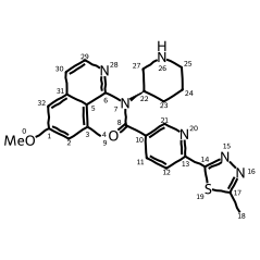 COc1cc(C)c2c(N(C(=O)c3ccc(-c4nnc(C)s4)nc3)[C@@H]3CCCNC3)nccc2c1